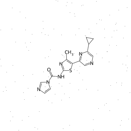 Cc1nc(NC(=O)n2ccnc2)sc1-c1cncc(C2CC2)n1